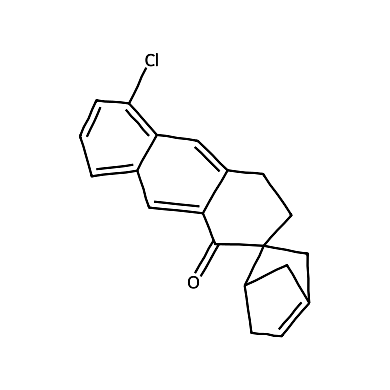 O=C1c2cc3cccc(Cl)c3cc2CCC12CC1=CCC2C1